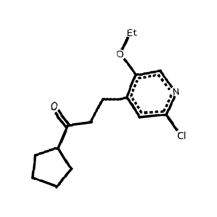 CCOc1cnc(Cl)cc1CCC(=O)C1CCCC1